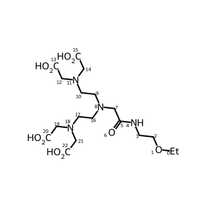 CCOCCNC(=O)CN(CCN(CC(=O)O)CC(=O)O)CCN(CC(=O)O)CC(=O)O